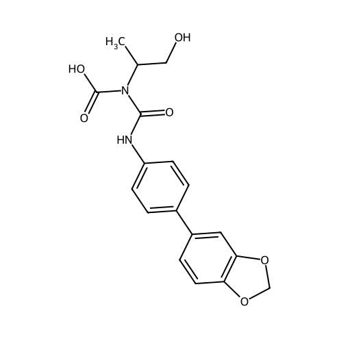 CC(CO)N(C(=O)O)C(=O)Nc1ccc(-c2ccc3c(c2)OCO3)cc1